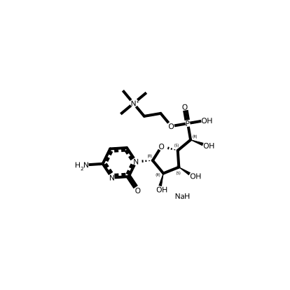 C[N+](C)(C)CCOP(=O)(O)[C@@H](O)[C@H]1O[C@@H](n2ccc(N)nc2=O)[C@H](O)[C@@H]1O.[NaH]